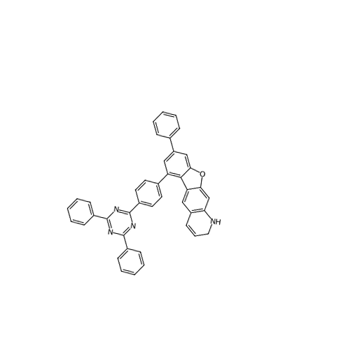 C1=Cc2cc3c(cc2NC1)oc1cc(-c2ccccc2)cc(-c2ccc(-c4nc(-c5ccccc5)nc(-c5ccccc5)n4)cc2)c13